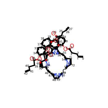 C=CCCC(=O)Oc1ccccc1-c1c(-c2ccccc2OC(=O)CCC=C)c2c(-c3ccccc3OC(=O)CCC=C)c3nc(cc4ccc(cc5nc(cc1n2-c1ccccc1OC(=O)CCC=C)C=C5)[nH]4)C=C3